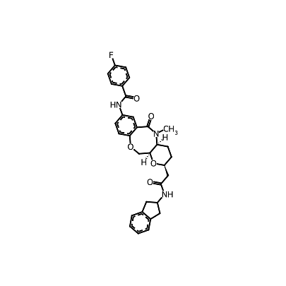 CN1C(=O)c2cc(NC(=O)c3ccc(F)cc3)ccc2OC[C@@H]2O[C@H](CC(=O)NC3Cc4ccccc4C3)CC[C@@H]21